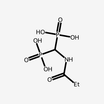 CCC(=O)NC(P(=O)(O)O)P(=O)(O)O